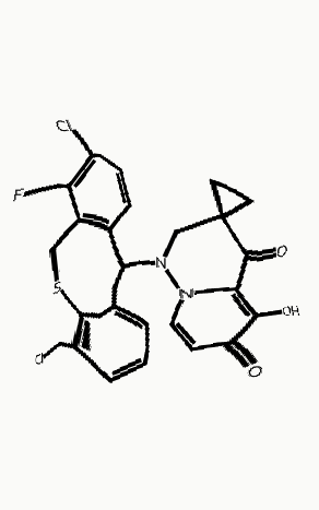 O=C1c2c(O)c(=O)ccn2N(C2c3ccc(Cl)c(F)c3CSc3c(Cl)cccc32)CC12CC2